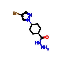 NNC(=O)[C@H]1CC[C@H](n2cc(Br)cn2)CC1